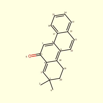 CC1(C)C=C2C(=O)C=c3c(ccc4ccccc34)=C2CC1